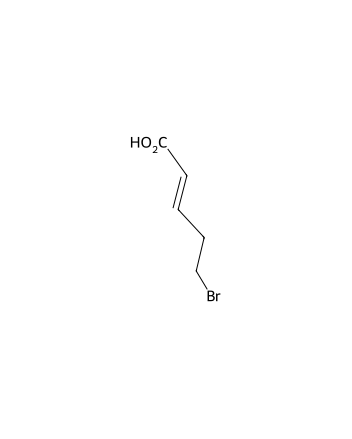 O=C(O)C=CCCBr